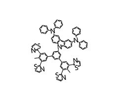 Cc1c(-c2nccs2)cc(-c2cc(-c3cc(-c4nccs4)c(C)c(-c4nccs4)c3)cc(-n3c4ccc(N(c5ccccc5)c5ccccc5)cc4c4cc(N(c5ccccc5)c5ccccc5)ccc43)c2)cc1-c1nccs1